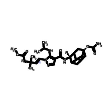 COC(=O)NC(C)(C)/C=C/n1ncc(C(=O)N[C@H]2C3CC4CC2C[C@](OC(N)=O)(C4)C3)c1NC(C)C